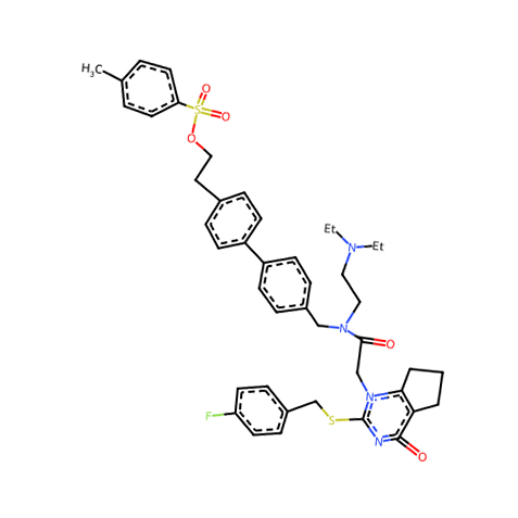 CCN(CC)CCN(Cc1ccc(-c2ccc(CCOS(=O)(=O)c3ccc(C)cc3)cc2)cc1)C(=O)Cn1c(SCc2ccc(F)cc2)nc(=O)c2c1CCC2